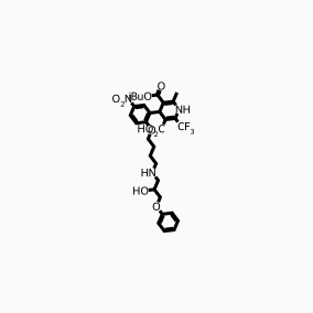 CC1=C(C(=O)OCC(C)C)C(c2cc([N+](=O)[O-])ccc2OCCCCNCC(O)COc2ccccc2)C(C(=O)O)=C(C(F)(F)F)N1